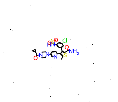 Cc1sc(C(N)=O)c(-c2cc(Cl)cc(NS(C)(=O)=O)c2)c1-c1ccc(N2CCN(C(=O)C3CC3)CC2)cn1